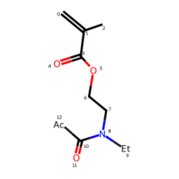 C=C(C)C(=O)OCCN(CC)C(=O)C(C)=O